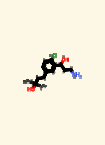 CCCC(O)(CCC)CCc1ccc(Cl)c(C(O)CCN)c1